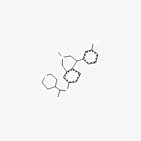 COc1cccc(C2CN(C)Cc3cc(OC(C(C)C)C4CCNCC4)ccc32)c1